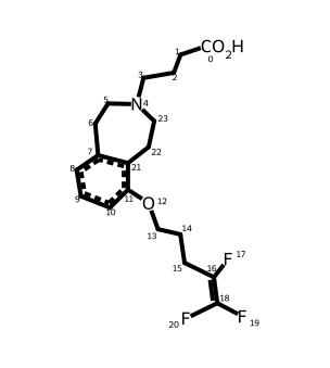 O=C(O)CCCN1CCc2cccc(OCCCC(F)=C(F)F)c2CC1